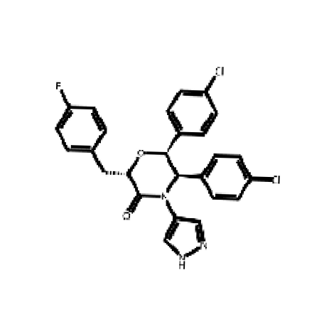 O=C1[C@H](Cc2ccc(F)cc2)O[C@@H](c2ccc(Cl)cc2)[C@@H](c2ccc(Cl)cc2)N1c1cn[nH]c1